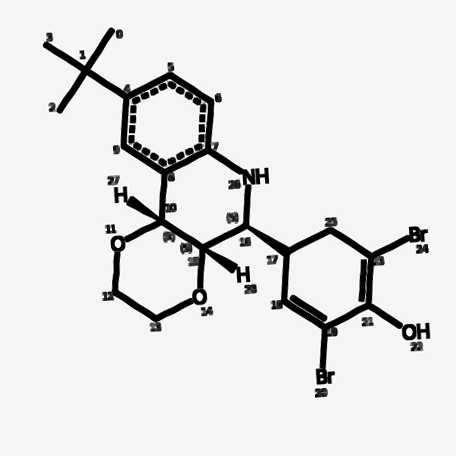 CC(C)(C)c1ccc2c(c1)[C@H]1OCCO[C@H]1[C@H](C1C=C(Br)C(O)=C(Br)C1)N2